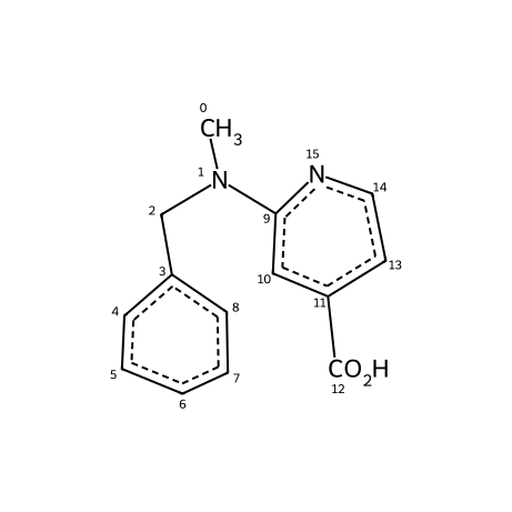 CN(Cc1ccccc1)c1cc(C(=O)O)ccn1